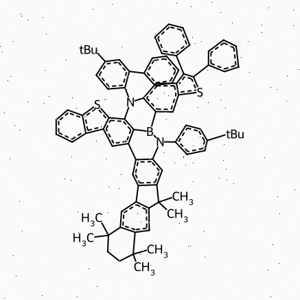 CC(C)(C)c1ccc(N2B3c4cc5sc(-c6ccccc6)c(-c6ccccc6)c5cc4N(c4ccc(C(C)(C)C)cc4-c4ccccc4)c4c3c(cc3c4sc4ccccc43)-c3cc4c(cc32)C(C)(C)c2cc3c(cc2-4)C(C)(C)CCC3(C)C)cc1